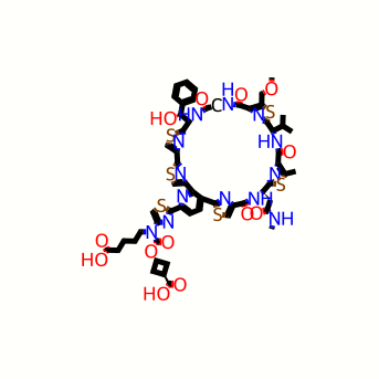 CNC(=O)C[C@@H]1NC(=O)c2csc(n2)-c2ccc(-c3nc(N(CCCCC(=O)O)C(=O)O[C@H]4C[C@H](C(=O)O)C4)cs3)nc2-c2csc(n2)-c2csc(n2)[C@H]([C@@H](O)c2ccccc2)NC(=O)CNC(=O)c2nc(sc2COC)C(C(C)C)NC(=O)c2nc1sc2C